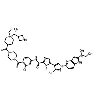 Cn1c(-c2cn(-c3ccc4[nH]c([C@@H](O)CO)cc4n3)nc2C(F)(F)F)cnc1C(=O)Nc1ccc(C(=O)N2CCN(C(=O)C3CC[N+](CC(=O)O)(CC4CNC4)CC3)CC2)c(Cl)c1